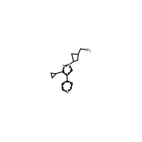 NCC1CC(n2cc(-c3ccncc3)c(C3CC3)n2)C1